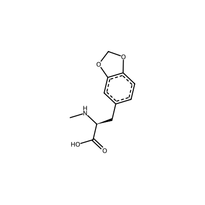 CN[C@@H](Cc1ccc2c(c1)OCO2)C(=O)O